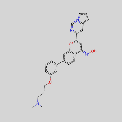 CN(C)CCCOc1cccc(-c2ccc3/c(=N/O)cc(-c4cc5cccn5cn4)oc3c2)c1